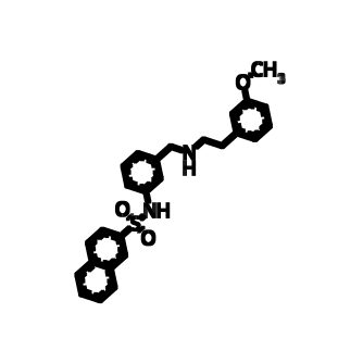 COc1cccc(CCNCc2cccc(NS(=O)(=O)c3ccc4ccccc4c3)c2)c1